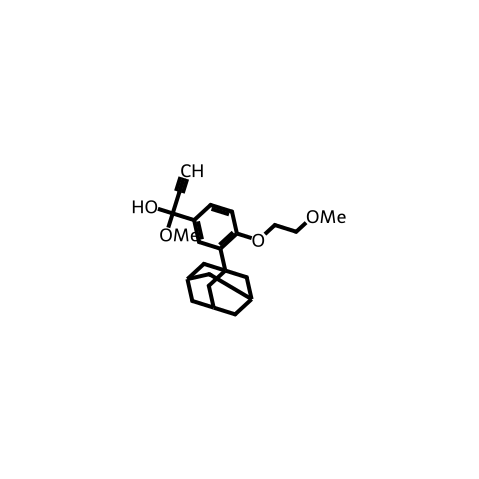 C#CC(O)(OC)c1ccc(OCCOC)c(C23CC4CC(CC(C4)C2)C3)c1